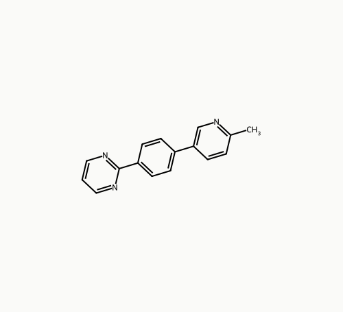 Cc1ccc(-c2ccc(-c3ncccn3)cc2)cn1